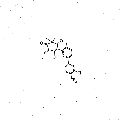 C=C1C(=O)C(C)(C)C(=O)C(c2cc(-c3ccc(C(F)(F)F)c(Cl)c3)ccc2C)=C1O